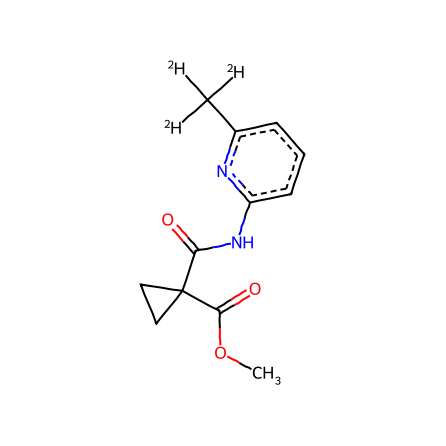 [2H]C([2H])([2H])c1cccc(NC(=O)C2(C(=O)OC)CC2)n1